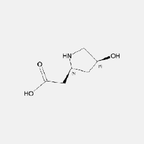 O=C(O)C[C@@H]1C[C@H](O)CN1